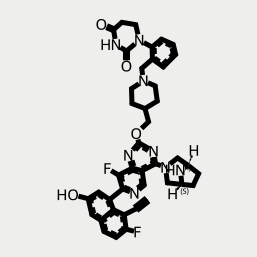 C#Cc1c(F)ccc2cc(O)cc(-c3ncc4c(N5C[C@H]6CC[C@@H](C5)N6)nc(OCC5CCN(Cc6ccccc6N6CCC(=O)NC6=O)CC5)nc4c3F)c12